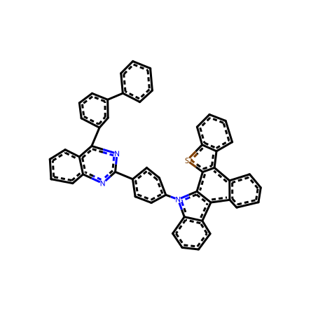 c1ccc(-c2cccc(-c3nc(-c4ccc(-n5c6ccccc6c6c7ccccc7c7c8ccccc8sc7c65)cc4)nc4ccccc34)c2)cc1